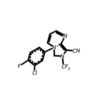 N#CC1=C2N=CC=C[N+]2(c2ccc(F)c(Cl)c2)CN1C(F)(F)F